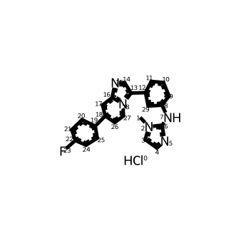 Cl.Cn1ccnc1Nc1cccc(-c2cnc3cc(-c4ccc(F)cc4)ccn23)c1